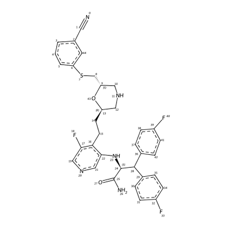 N#Cc1cccc(SC[C@@H]2CNC[C@@H](CCc3c(F)cncc3N[C@H](C(N)=O)C(c3ccc(F)cc3)c3ccc(F)cc3)O2)c1